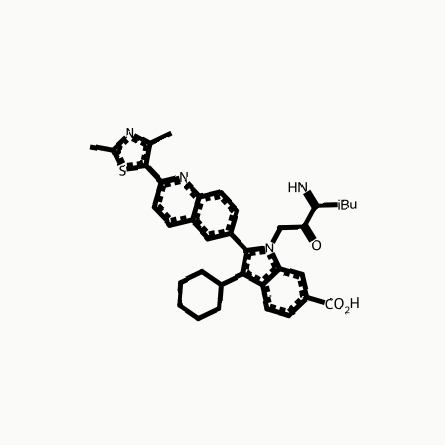 CCC(C)C(=N)C(=O)Cn1c(-c2ccc3nc(-c4sc(C)nc4C)ccc3c2)c(C2CCCCC2)c2ccc(C(=O)O)cc21